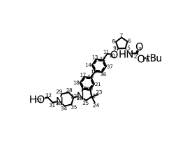 CC(C)(C)OC(=O)N[C@H]1CCC[C@@H]1OCc1ccc(-c2ccc3c(c2)C(C)(C)CN3C2CCN(CCO)CC2)cc1